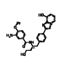 CC(C)Oc1ccc(C(=O)N[C@H](CCO)Cc2ccc(-c3cn4cccc(O)c4n3)cc2)cc1N